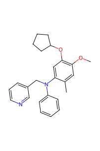 COc1cc(C)c(N(Cc2cccnc2)c2ccccc2)cc1OC1CCCC1